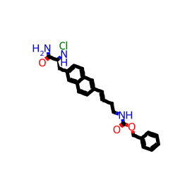 NC(=O)[C@H](Cc1ccc2cc(/C=C/CCNC(=O)OCc3ccccc3)ccc2c1)NCl